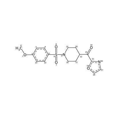 COc1ccc(S(=O)(=O)N2CCC(C(=O)c3ncco3)CC2)cc1